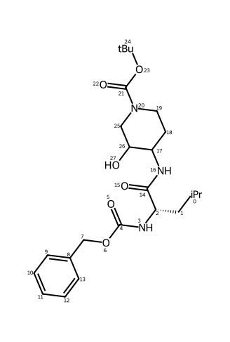 CC(C)C[C@H](NC(=O)OCc1ccccc1)C(=O)NC1CCN(C(=O)OC(C)(C)C)CC1O